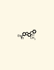 CCN(CC)c1ccc2c(c1)-c1cc(C)c(Cl)c(Cc3ccccc3)c1C2